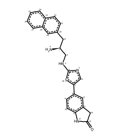 N[C@H](CNc1ncc(-c2ccc3c(c2)CC(=O)N3)s1)Cc1ccc2ccccc2c1